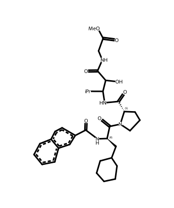 COC(=O)CNC(=O)C(O)C(NC(=O)[C@@H]1CCCN1C(=O)[C@@H](CC1CCCCC1)NC(=O)c1ccc2ccccc2c1)C(C)C